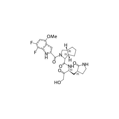 COc1cc(F)c(F)c2[nH]c(C(=O)N3C[C@@H]4CCC[C@@H]4C3C(=O)N[C@@H](C[C@@H]3CCNC3=O)C(=O)CO)cc12